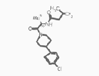 CC[C@@H](C)[C@@H](NC(=O)CC(C)C(F)(F)F)C(=O)N1CCC(c2ccc(Cl)cc2)CC1